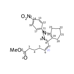 COC(=O)CCC/C=C\c1nn(-c2ccc([N+](=O)[O-])cc2)c2c1CCCC2